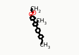 C=CC(=O)Oc1ccc(-c2ccc(C3CCC(C4CCC(CCC)CC4)CC3)cc2C)cc1